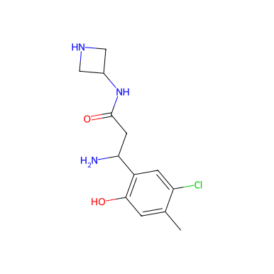 Cc1cc(O)c(C(N)CC(=O)NC2CNC2)cc1Cl